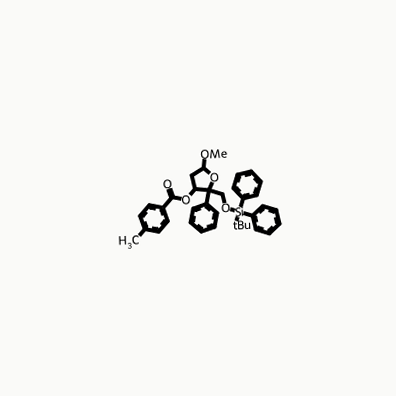 COC1CC(OC(=O)c2ccc(C)cc2)C(CO[Si](c2ccccc2)(c2ccccc2)C(C)(C)C)(c2ccccc2)O1